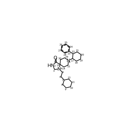 O=C1NCN(CCC2CCCCC2)C12CCN(C1CCCCC1c1ccccc1)CC2